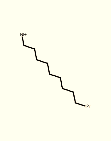 CC(C)CCCCCCCCC[NH]